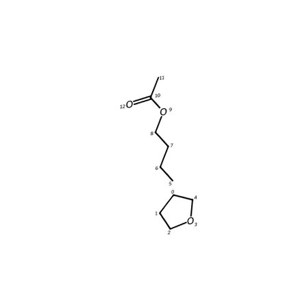 C1CCOC1.CCCCOC(C)=O